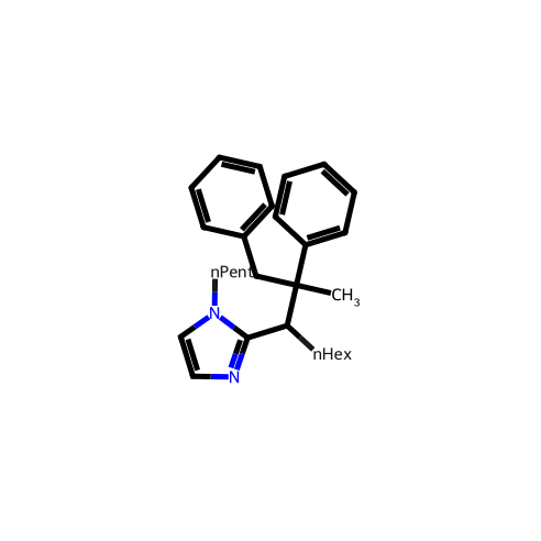 CCCCCCC(c1nccn1CCCCC)C(C)(Cc1ccccc1)c1ccccc1